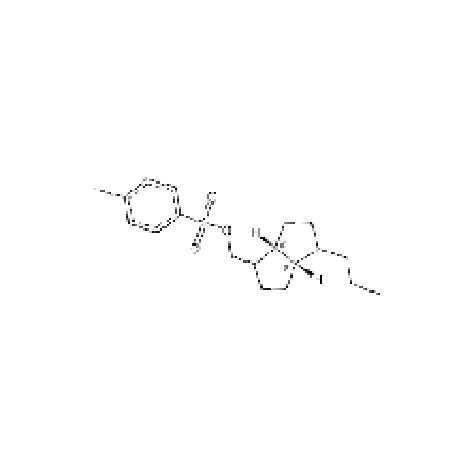 CCCC1CC[C@H]2C(COS(=O)(=O)c3ccc(C)cc3)CC[C@@H]12